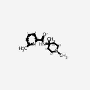 Cc1cccc(C(=O)NC2(C)CCN(C)CC2)n1